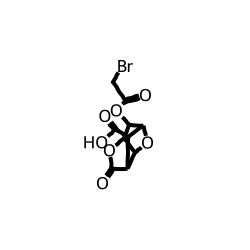 O=C(CBr)OC1C2OC(=O)C3C2OC1C3C(=O)O